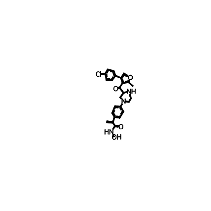 C=C(C(=O)NO)c1ccc(N2CCNC(C(=O)c3c(-c4ccc(Cl)cc4)coc3C)C2)cc1